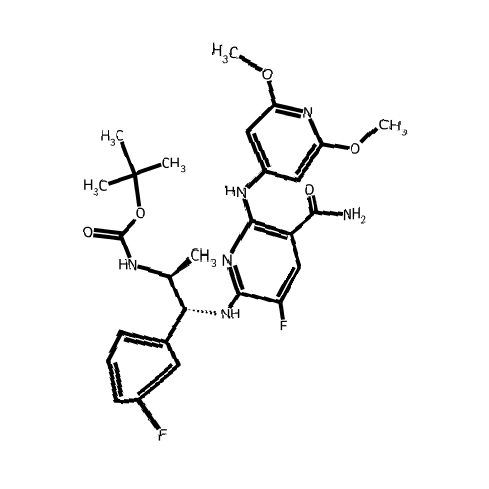 COc1cc(Nc2nc(N[C@H](c3cccc(F)c3)[C@H](C)NC(=O)OC(C)(C)C)c(F)cc2C(N)=O)cc(OC)n1